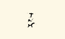 Cc1nc2nc(C(F)(F)F)nn2c(S)c1C